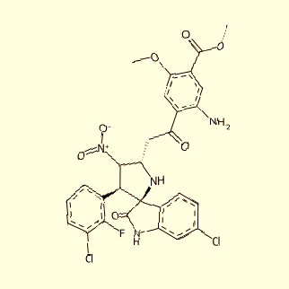 COC(=O)c1cc(N)c(C(=O)C[C@@H]2N[C@@]3(C(=O)Nc4cc(Cl)ccc43)[C@@H](c3cccc(Cl)c3F)C2[N+](=O)[O-])cc1OC